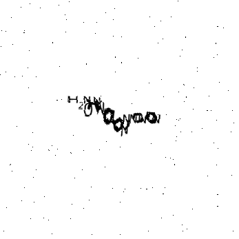 NC(=O)c1cn(-c2ccc(-c3ccc4ncc(N5CCN(c6ccncc6)CC5)nc4c3)cc2)cn1